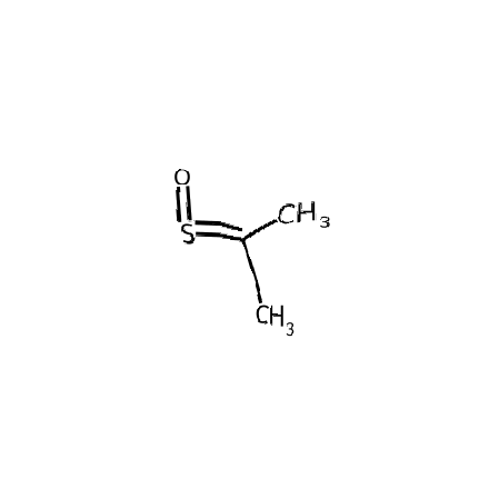 CC(C)=S=O